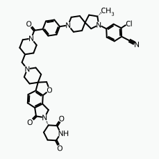 C[C@H]1CC2(CCN(c3ccc(C(=O)N4CCC(CN5CCC6(CC5)COc5c6ccc6c5CN([C@H]5CCC(=O)NC5=O)C6=O)CC4)cc3)CC2)CN1c1ccc(C#N)c(Cl)c1